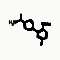 COc1ccc(F)cc1-c1ccc(C(C)N)cc1